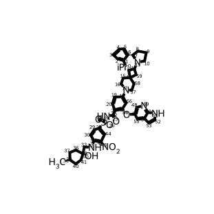 CC(C)c1ccccc1[C@@H]1CCCN1C1CC2(CCN(c3ccc(C(=O)NS(=O)(=O)c4ccc(NC[C@]5(O)CC[C@H](C)CC5)c([N+](=O)[O-])c4)c(Oc4cnc5[nH]ccc5c4)c3)CC2)C1